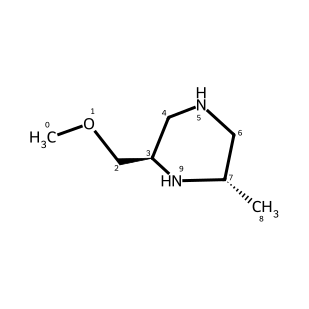 COC[C@H]1CNC[C@H](C)N1